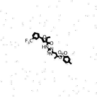 Cc1ccc(S(=O)(=O)OC(C)Cc2nsc(NC(=O)c3cc(-c4cccc(C(F)(F)F)c4)oc3C)n2)cc1